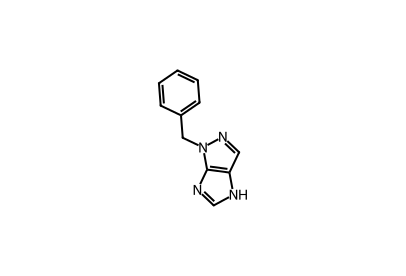 c1ccc(Cn2ncc3[nH]cnc32)cc1